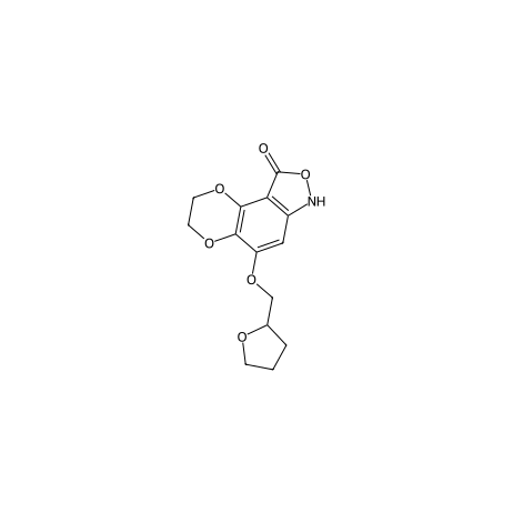 O=c1o[nH]c2cc(OCC3CCCO3)c3c(c12)OCCO3